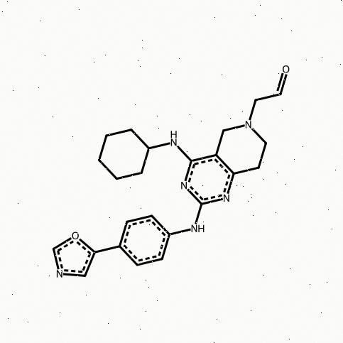 O=CCN1CCc2nc(Nc3ccc(-c4cnco4)cc3)nc(NC3CCCCC3)c2C1